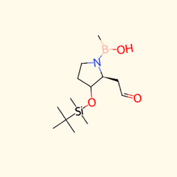 CB(O)N1CCC(O[Si](C)(C)C(C)(C)C)[C@@H]1CC=O